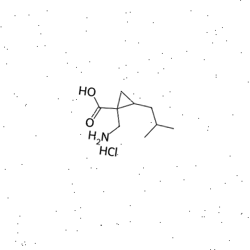 CC(C)CC1CC1(CN)C(=O)O.Cl